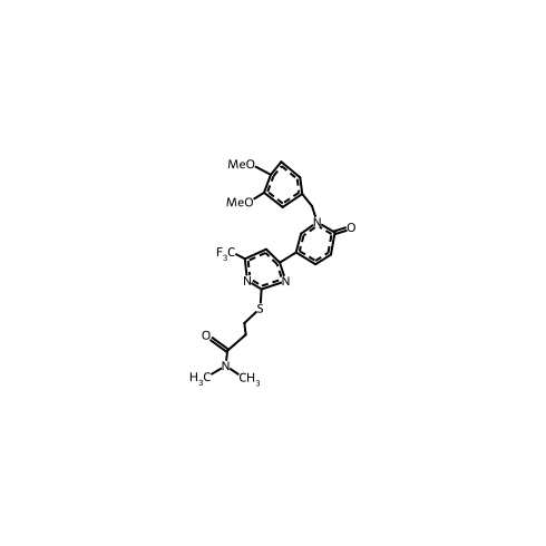 COc1ccc(Cn2cc(-c3cc(C(F)(F)F)nc(SCCC(=O)N(C)C)n3)ccc2=O)cc1OC